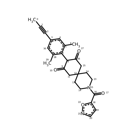 CC#Cc1cc(C)c(C2C(=O)CC3(CCN(C(=O)c4ccno4)CC3)CC2=O)c(C)c1